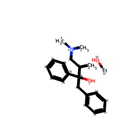 CC(CN(C)C)C(O)(Cc1ccccc1)c1ccccc1.CCO